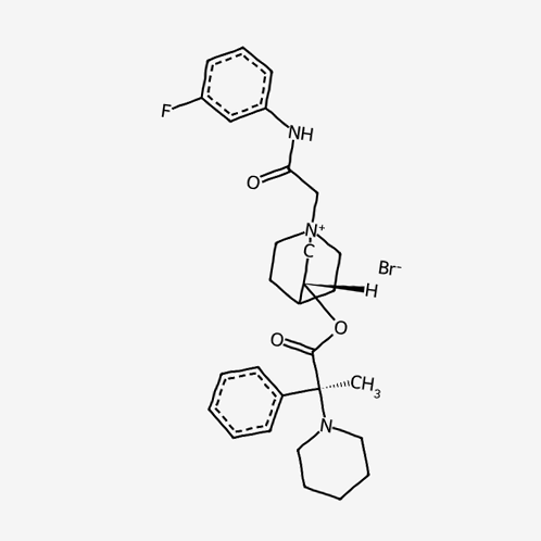 C[C@@](C(=O)O[C@H]1C[N+]2(CC(=O)Nc3cccc(F)c3)CCC1CC2)(c1ccccc1)N1CCCCC1.[Br-]